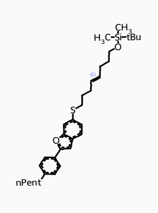 CCCCCc1ccc(-c2cc3ccc(SCCC/C=C/CCCO[Si](C)(C)C(C)(C)C)cc3o2)cc1